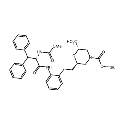 COC(=O)N[C@H](C(=O)Nc1ccccc1CC[C@@H]1CN(C(=O)OC(C)(C)C)C[C@@H](C(=O)O)O1)C(c1ccccc1)c1ccccc1